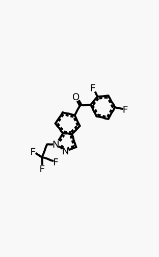 O=C(c1ccc2c(cnn2CC(F)(F)F)c1)c1ccc(F)cc1F